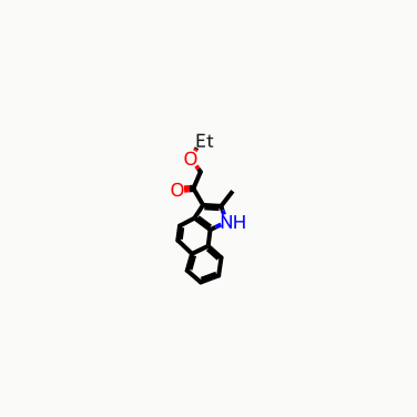 CCOCC(=O)c1c(C)[nH]c2c1ccc1ccccc12